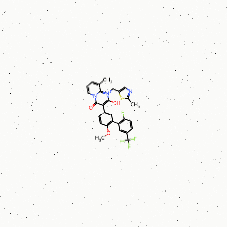 COc1ccc(-c2c(O)[n+](Cc3cnc(C)s3)c3c(C)cccn3c2=O)cc1-c1cc(C(F)(F)F)ccc1F